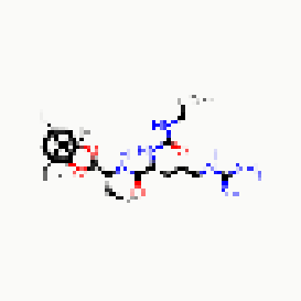 CCCCCCCCCCCNC(=O)N[C@@H](CCCNC(=N)N)C(=O)N[C@@H](CC(C)C)B1O[C@@H]2C[C@@H]3C[C@@H](C3(C)C)[C@]2(C)O1